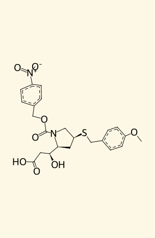 COc1ccc(CS[C@H]2C[C@@H]([C@@H](O)CC(=O)O)N(C(=O)OCc3ccc([N+](=O)[O-])cc3)C2)cc1